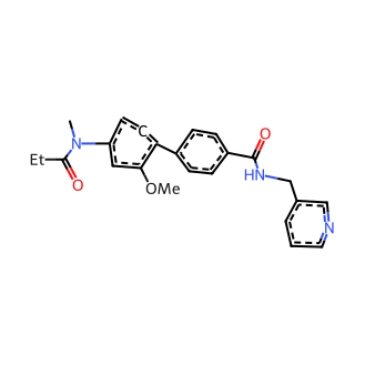 CCC(=O)N(C)c1ccc(-c2ccc(C(=O)NCc3cccnc3)cc2)c(OC)c1